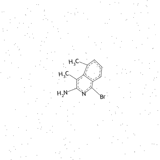 Cc1cccc2c(Br)nc(N)c(C)c12